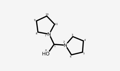 OC(N1CCCC1)N1CCCC1